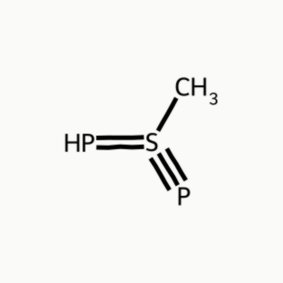 CS(#P)=P